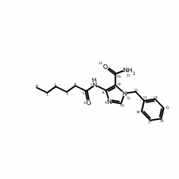 CCCCCC(=O)Nc1ncn(Cc2ccccc2)c1C(N)=O